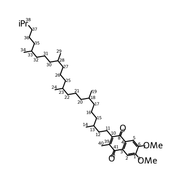 COc1cc2c(cc1OC)C(=O)C(CCC(C)CCCC(C)CCCC(C)CCCC(C)CCCC(C)CCCC(C)C)=C(C)C2=O